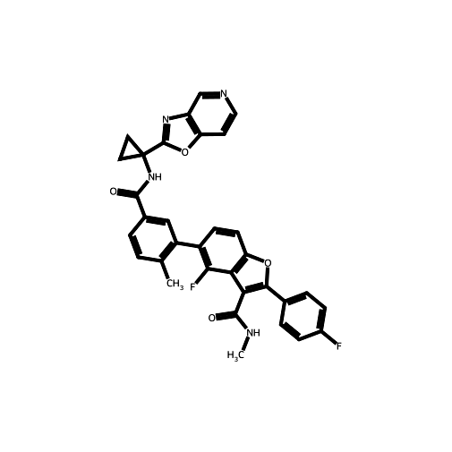 CNC(=O)c1c(-c2ccc(F)cc2)oc2ccc(-c3cc(C(=O)NC4(c5nc6cnccc6o5)CC4)ccc3C)c(F)c12